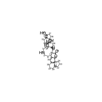 C[C@]12CCNCCc3c(c(=O)oc4c5c6c(cc34)CCCN6CCC5)C[C@@H]1CC[C@@H]1[C@@H]2CC[C@]2(C)[C@@H](O)CC[C@@H]12